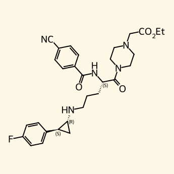 CCOC(=O)CN1CCN(C(=O)[C@H](CCCN[C@@H]2C[C@H]2c2ccc(F)cc2)NC(=O)c2ccc(C#N)cc2)CC1